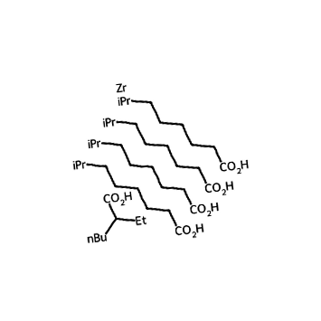 CC(C)CCCCCC(=O)O.CC(C)CCCCCC(=O)O.CC(C)CCCCCC(=O)O.CC(C)CCCCCC(=O)O.CCCCC(CC)C(=O)O.[Zr]